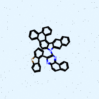 c1ccc2cc3c(cc2c1)c1c2c4ccccc4c4ccccc4c2ccc1n3-c1nc2c(ccc3ccccc32)nc1-c1cccc2sc3ccccc3c12